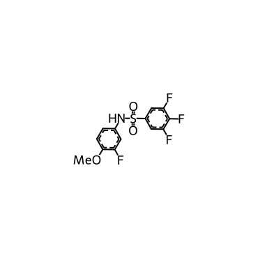 COc1ccc(NS(=O)(=O)c2cc(F)c(F)c(F)c2)cc1F